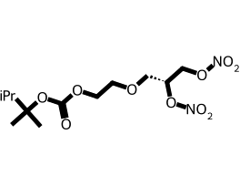 CC(C)C(C)(C)OC(=O)OCCOC[C@H](CO[N+](=O)[O-])O[N+](=O)[O-]